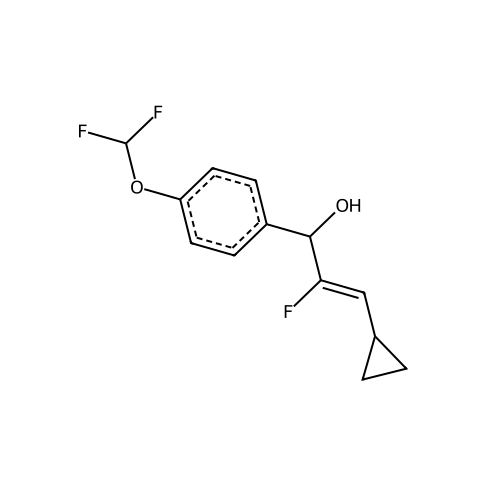 OC(C(F)=CC1CC1)c1ccc(OC(F)F)cc1